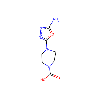 Nc1nnc(N2CCN(C(=O)O)CC2)o1